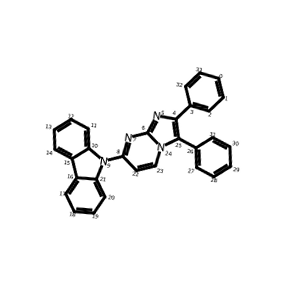 c1ccc(-c2nc3nc(-n4c5ccccc5c5ccccc54)ccn3c2-c2ccccc2)cc1